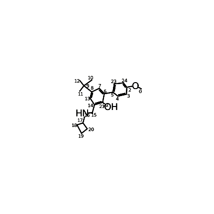 COc1ccc(-c2cc(C(C)(C)C)cc(CNC3CCC3)c2O)cc1